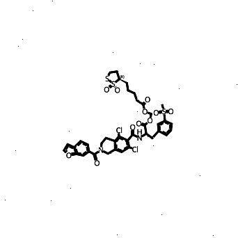 CS(=O)(=O)c1cccc(CC(NC(=O)c2c(Cl)cc3c(c2Cl)CCN(C(=O)c2ccc4ccoc4c2)C3)C(=O)OCOC(=O)CCCC[C@@H]2CCSS2(=O)=O)c1